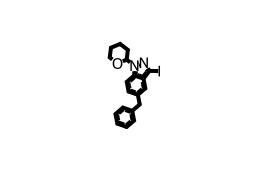 Ic1nn(C2CCCCO2)c2ccc(Cc3ccccc3)cc12